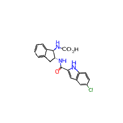 O=C(O)N[C@@H]1c2ccccc2C[C@H]1NC(=O)c1cc2cc(Cl)ccc2[nH]1